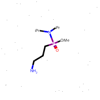 COP(=O)(CCCN)N(C(C)C)C(C)C